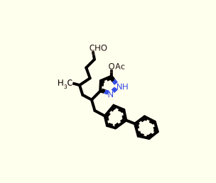 CC(=O)Oc1cc(C(Cc2ccc(-c3ccccc3)cc2)CC(C)CCCC=O)n[nH]1